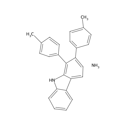 Cc1ccc(-c2ccc3c([nH]c4ccccc43)c2-c2ccc(C)cc2)cc1.N